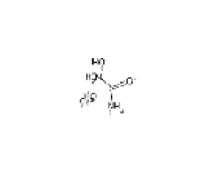 NC(N)=O.[Ca+2].[OH-].[OH-]